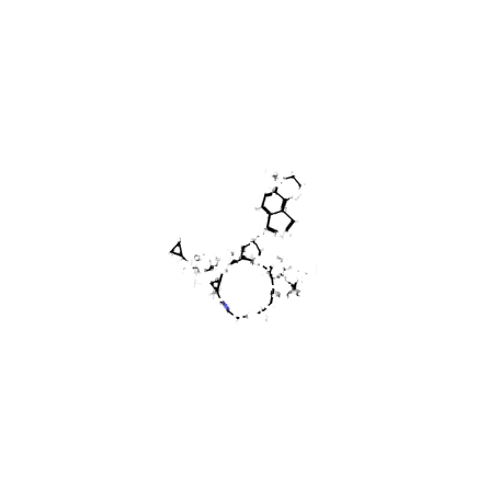 CC[C@@H]1C[C@H](C)CC/C=C\[C@@H]2C[C@@]2(C(=O)NS(=O)(=O)C2CC2)NC(=O)[C@@H]2C[C@@H](Oc3nccc4c5c(ccc34)N(C)CCO5)CN2C(=O)[C@H]1N(C(=O)O)C(C)(C)C(F)(F)F